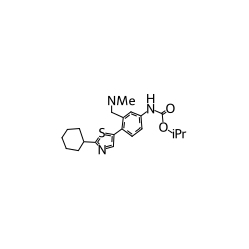 CNCc1cc(NC(=O)OC(C)C)ccc1-c1cnc(C2CCCCC2)s1